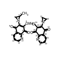 COC1=C(N2CC2C)C(=O)c2cccnc2C1=O.O=C1C(N2CC2)=C(Cl)C(=O)c2ncccc21